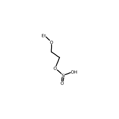 CCOCCO[Si](=O)O